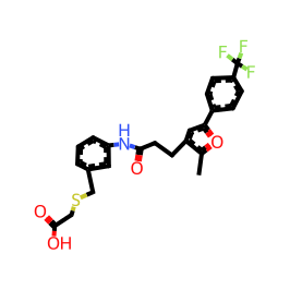 Cc1oc(-c2ccc(C(F)(F)F)cc2)cc1CCC(=O)Nc1cccc(CSCC(=O)O)c1